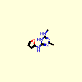 CNC1=NC(C)N=C(Nc2ccco2)N1